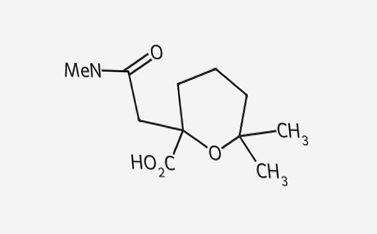 CNC(=O)CC1(C(=O)O)CCCC(C)(C)O1